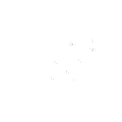 C=C(/N=C1\C(=C/N)N=C(Nc2ccccc2F)N1C(C)C)NCC